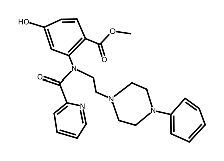 COC(=O)c1ccc(O)cc1N(CCN1CCN(c2ccccc2)CC1)C(=O)c1ccccn1